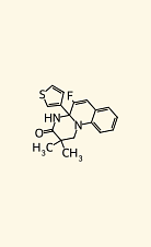 CC1(C)CN2c3ccccc3C=C(F)C2(c2ccsc2)NC1=O